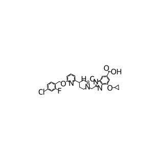 Cn1c(CN2CCC(c3cccc(OCc4ccc(Cl)cc4F)n3)CC2)nc2c(OC3CC3)cc(C(=O)O)cc21